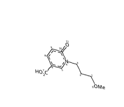 COCCCn1cc(C(=O)O)ccc1=O